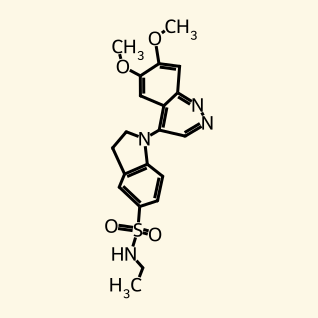 CCNS(=O)(=O)c1ccc2c(c1)CCN2c1cnnc2cc(OC)c(OC)cc12